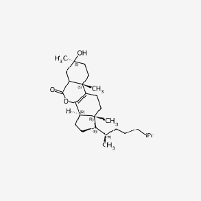 CC(C)CCC[C@@H](C)[C@H]1CC[C@H]2C3=C(CC[C@]12C)[C@@]1(C)CC[C@](C)(O)CC1C(=O)O3